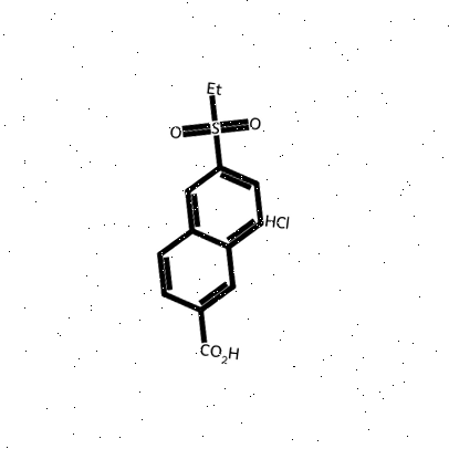 CCS(=O)(=O)c1ccc2cc(C(=O)O)ccc2c1.Cl